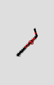 CCCCCCCC/C=C\CCCCCCCC(=O)OCCCCCCCCCCCCCCCCCCC(C)C